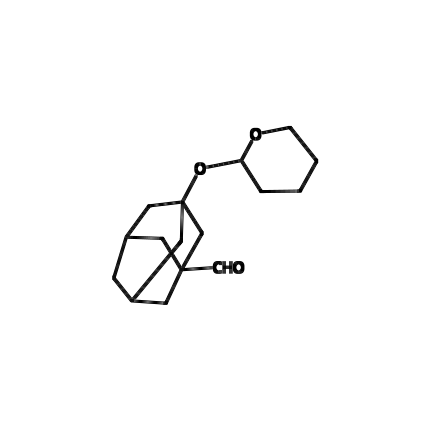 O=CC12CC3CC(C1)CC(OC1CCCCO1)(C3)C2